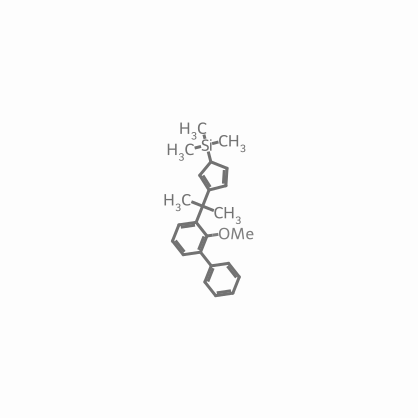 COc1c(-c2ccccc2)cccc1C(C)(C)C1=CC([Si](C)(C)C)C=C1